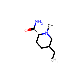 CCC1CC[C@H](C(N)=O)N(C)C1